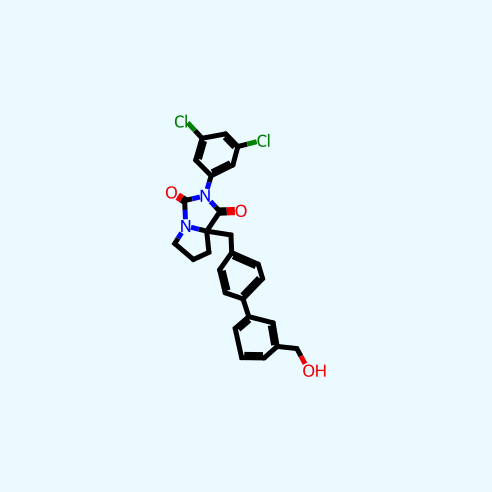 O=C1N(c2cc(Cl)cc(Cl)c2)C(=O)C2(Cc3ccc(-c4cccc(CO)c4)cc3)CCCN12